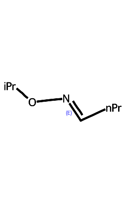 [CH2]CC/C=N/OC(C)C